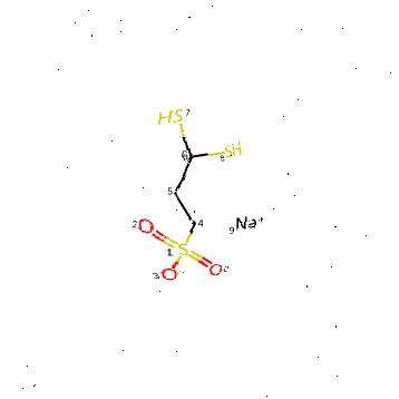 O=S(=O)([O-])CCC(S)S.[Na+]